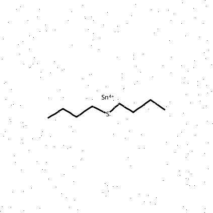 CCCCSCCCC.[Sn+4]